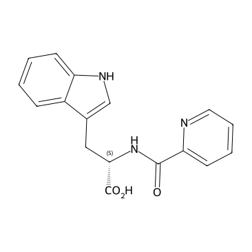 O=C(N[C@@H](Cc1c[nH]c2ccccc12)C(=O)O)c1ccccn1